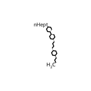 C=CCC[C@H]1CC[C@H](CCCC[C@H]2CC[C@H]([C@H]3CC[C@H](CCCCCCC)CC3)CC2)CC1